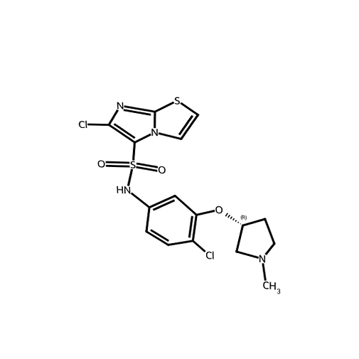 CN1CC[C@@H](Oc2cc(NS(=O)(=O)c3c(Cl)nc4sccn34)ccc2Cl)C1